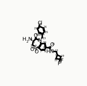 N[C@H]1CS(=O)(=O)c2ccc(C(=O)NCC3CC(F)(F)C3)cc2N(Cc2ccc(Cl)cc2)C1=O